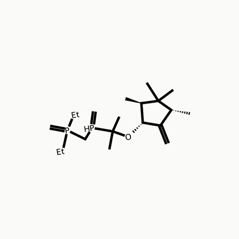 C=C1[C@@H](C)C(C)(C)[C@H](C)[C@H]1OC(C)(C)[PH](=C)CP(=C)(CC)CC